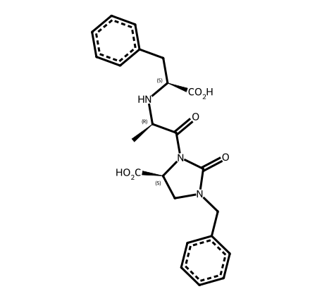 C[C@@H](N[C@@H](Cc1ccccc1)C(=O)O)C(=O)N1C(=O)N(Cc2ccccc2)C[C@H]1C(=O)O